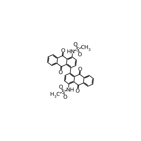 CS(=O)(=O)Nc1ccc(-c2ccc(NS(C)(=O)=O)c3c2C(=O)c2ccccc2C3=O)c2c1C(=O)c1ccccc1C2=O